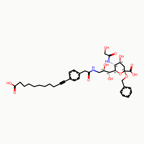 O=C(O)CCCCCCCCC#Cc1ccc(CC(=O)NC[C@@H](O)[C@@H](O)[C@@H]2O[C@@](OCc3ccccc3)(C(=O)O)C[C@H](O)[C@H]2NC(=O)CO)cc1